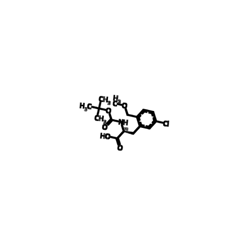 COCc1ccc(Cl)cc1C[C@H](NC(=O)OC(C)(C)C)C(=O)O